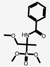 COCC(C)(NC(=O)c1ccccc1)P(=O)(OC)OC